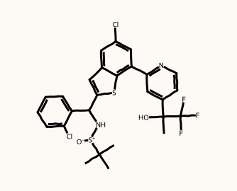 CC(C)(C)[S+]([O-])NC(c1cc2cc(Cl)cc(-c3cc(C(C)(O)C(F)(F)F)ccn3)c2s1)c1ccccc1Cl